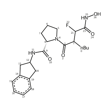 CCCCC(C(=O)N1CCC[C@H]1C(=O)NC1Cc2ccccc2C1)C(F)C(=O)NO